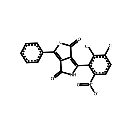 O=C1NC(c2c([N+](=O)[O-])ccc(Cl)c2Cl)=C2C(=O)NC(c3ccccc3)=C12